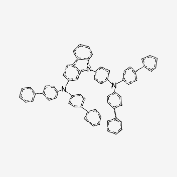 c1ccc(-c2ccc(N(c3ccc(-c4ccccc4)cc3)c3ccc(-n4c5ccccc5c5ccc(N(c6ccc(-c7ccccc7)cc6)c6ccc(-c7ccccc7)cc6)cc54)cc3)cc2)cc1